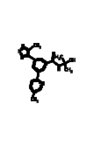 Cc1ccc(-c2cc(C(=O)NC(C)(C)O)cc(-n3nnnc3C)c2)nc1